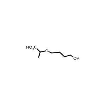 CC(OCCCCO)C(=O)O